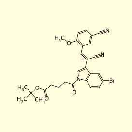 COc1ccc(C#N)cc1/C=C(\C#N)c1cn(C(=O)CCCC(=O)OC(C)(C)C)c2ccc(Br)cc12